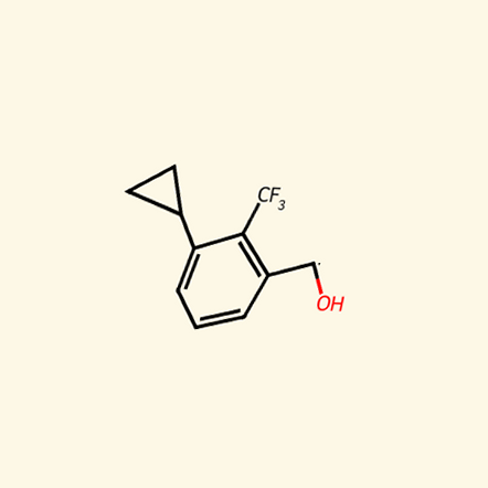 O[CH]c1cccc(C2CC2)c1C(F)(F)F